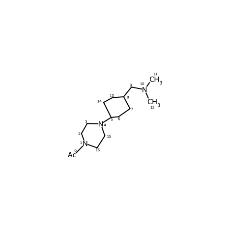 CC(=O)N1CCN(C2CCC(CN(C)C)CC2)CC1